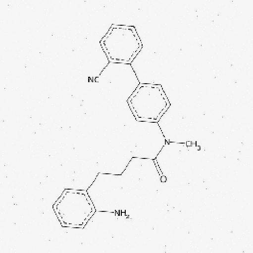 CN(C(=O)CCCc1ccccc1N)c1ccc(-c2ccccc2C#N)cc1